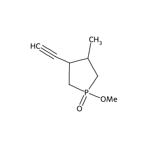 C#CC1CP(=O)(OC)CC1C